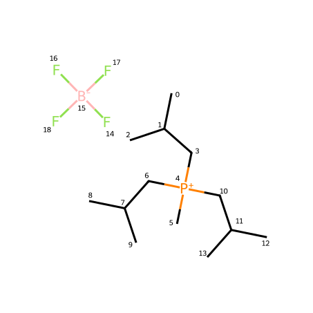 CC(C)C[P+](C)(CC(C)C)CC(C)C.F[B-](F)(F)F